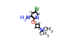 CN(C)C1CC(Oc2ncc(Br)cc2N)C1